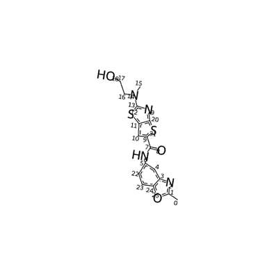 Cc1nc2cc(NC(=O)c3cc4sc(N(C)CCO)nc4s3)ccc2o1